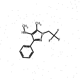 CNc1c(-c2ccccc2)nn(CC(F)(F)F)c1C